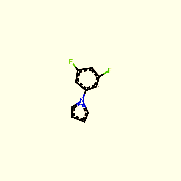 Fc1[c]c(-n2cccc2)cc(F)c1